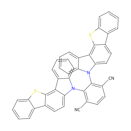 N#Cc1ccc(C#N)c(-n2c3ccccc3c3c4sc5ccccc5c4ccc32)c1-n1c2ccccc2c2c3sc4ccccc4c3ccc21